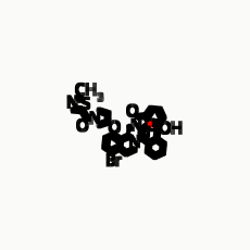 Cc1ncc(C(=O)N2CCC(Oc3ccc(Br)c4c3[C@@H](CN3Cc5ccccc5C3=O)N(C(=O)C3CCCCC3C(=O)O)CC4)C2)s1